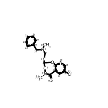 CN(CCC1CN(C)C(=S)c2cc(Cl)cnc2O1)Cc1ccccc1